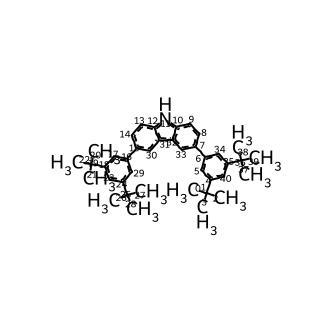 CC(C)(C)c1cc(-c2ccc3[nH]c4ccc(-c5cc(C(C)(C)C)cc(C(C)(C)C)c5)cc4c3c2)cc(C(C)(C)C)c1